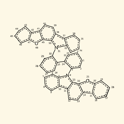 c1ccc(-n2c3ccccc3c3ccc4c5ccccc5oc4c32)c(-c2ccccc2-n2c3ccccc3c3ccc4c5ccccc5oc4c32)c1